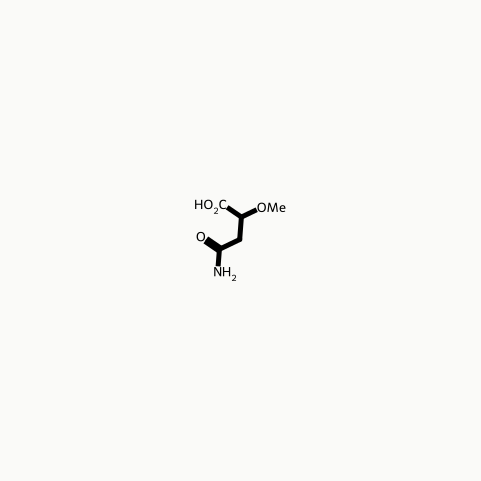 COC(CC(N)=O)C(=O)O